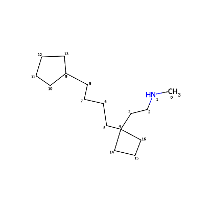 CNCCC1(CCCCC2CCCC2)CCC1